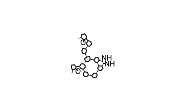 Cc1cccc2c1oc1c(-c3cccc(-c4cccc(-c5ccc6c(c5)-c5cc(-c7cccc(-c8cccc(-c9cccc%10c9oc9c(C)cccc9%10)c8)c7)ccc5C(=N)C6=N)c4)c3)cccc12